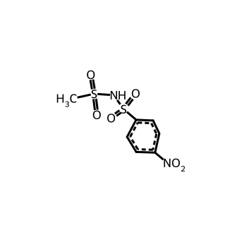 CS(=O)(=O)NS(=O)(=O)c1ccc([N+](=O)[O-])cc1